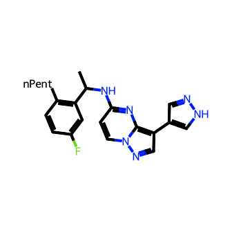 CCCCCc1ccc(F)cc1C(C)Nc1ccn2ncc(-c3cn[nH]c3)c2n1